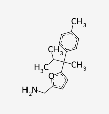 Cc1ccc(C(C)(c2ccc(CN)o2)C(C)C)cc1